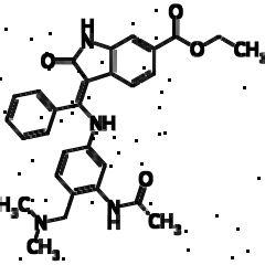 CCOC(=O)c1ccc2c(c1)NC(=O)C2=C(Nc1ccc(CN(C)C)c(NC(C)=O)c1)c1ccccc1